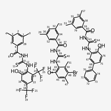 Cc1cc(C)cc(C(=O)NC(=S)Nc2c(O)cc(C(F)(F)F)cc2C(F)(F)F)c1.Cc1cc(C)cc(C(=O)NC(=S)Nc2c(O)cc(C)c(Br)c2C)c1.Cc1cc(C)cc(C(=O)NC(=S)Nc2cc(-c3ccccc3)ccc2O)c1